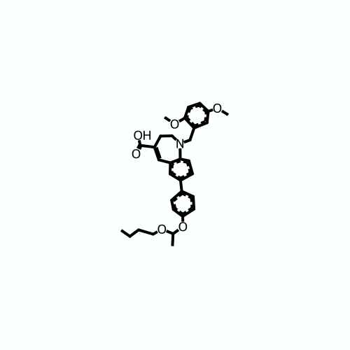 CCCCOC(C)Oc1ccc(-c2ccc3c(c2)C=C(C(=O)O)CCN3Cc2cc(OC)ccc2OC)cc1